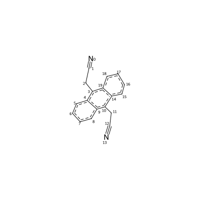 N#CCc1c2ccccc2c(CC#N)c2ccccc12